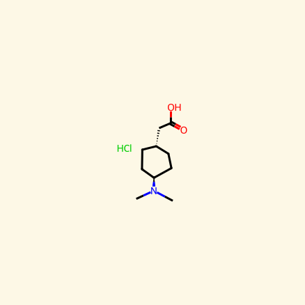 CN(C)[C@H]1CC[C@H](CC(=O)O)CC1.Cl